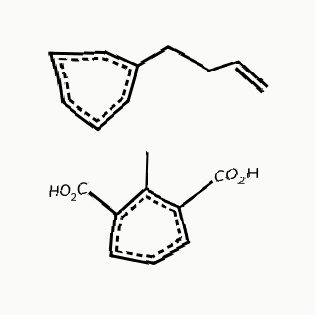 C=CCCc1ccccc1.Cc1c(C(=O)O)cccc1C(=O)O